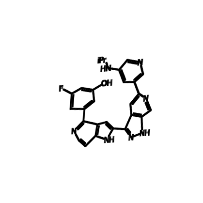 CC(C)Nc1cncc(-c2cc3c(-c4cc5c(-c6cc(O)cc(F)c6)nccc5[nH]4)n[nH]c3cn2)c1